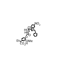 CCC(C(=O)O)c1ccc(OCC(=O)NCC(O)(c2cn(Cc3ccccc3)c3cc([N+](=O)[O-])ccc23)C(F)(F)F)c(OC)c1